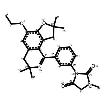 CCOc1cc2c(c3c1OC(C)(C)C3)C(c1cccc(N3C(=O)CN(C)C3=O)c1)=NC(C)(C)C2